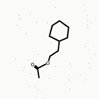 CC(=O)OCCC1CCCCC1